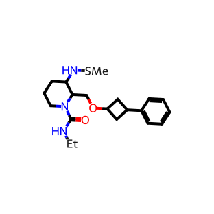 CCNC(=O)N1CCCC(NSC)C1COC1CC(c2ccccc2)C1